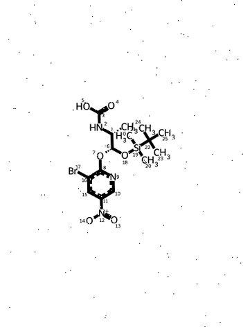 C[C@@H](NC(=O)O)[C@@H](Oc1ncc([N+](=O)[O-])cc1Br)O[Si](C)(C)C(C)(C)C